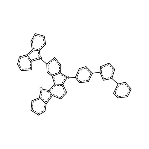 c1ccc(-c2cccc(-c3ccc(-n4c5ccc(-n6c7ccccc7c7ccccc76)cc5c5c6oc7ccccc7c6ccc54)cc3)c2)cc1